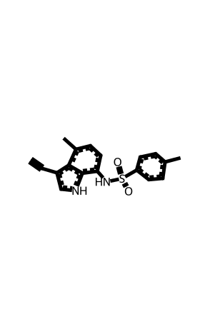 C#Cc1c[nH]c2c(NS(=O)(=O)c3ccc(C)cc3)ccc(C)c12